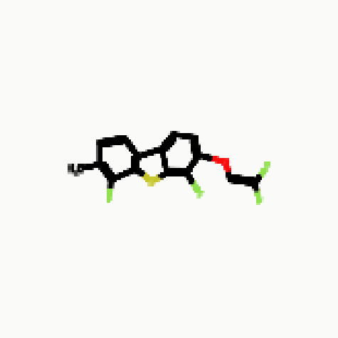 Cc1ccc2c(sc3c(F)c(OC=C(F)F)ccc32)c1F